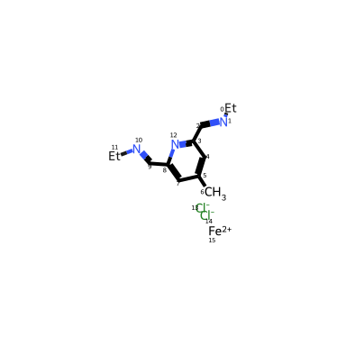 CCN=Cc1cc(C)cc(C=NCC)n1.[Cl-].[Cl-].[Fe+2]